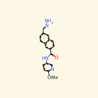 COc1ccc(NC(=O)c2ccc3cc(C=NN)ccc3c2)cn1